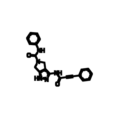 O=C(C#Cc1ccccc1)Nc1n[nH]c2c1CN(C(=O)Nc1ccccc1)C2